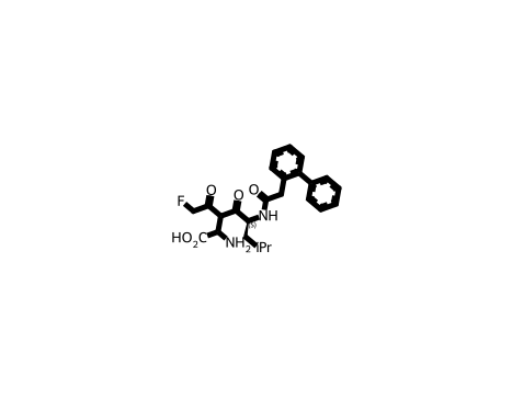 CC(C)C[C@H](NC(=O)Cc1ccccc1-c1ccccc1)C(=O)C(C(=O)CF)C(N)C(=O)O